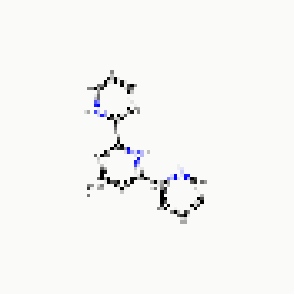 [Ru+2].c1ccc(-c2cccc(-c3ccccn3)n2)nc1